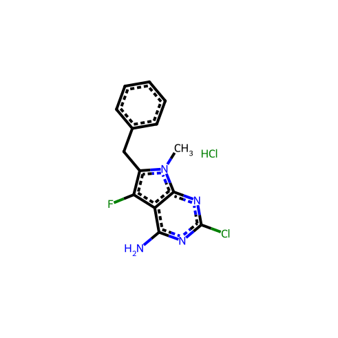 Cl.Cn1c(Cc2ccccc2)c(F)c2c(N)nc(Cl)nc21